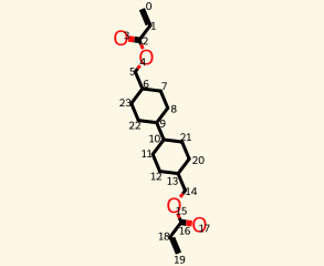 C=CC(=O)OCC1CCC(C2CCC(COC(=O)C=C)CC2)CC1